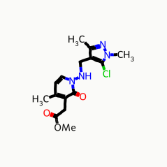 COC(=O)Cc1c(C)ccn(NCc2c(C)nn(C)c2Cl)c1=O